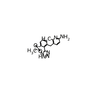 Cc1nc(N)ccc1Cc1cccc(S(C)(=O)=O)c1-c1nn[nH]n1